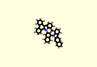 c1ccc2cc3c(cc2c1)c1cccc2c1n3-c1c3c(cc4ccccc14)-n1c4c(cccc4c4c5ccccc5c5ccccc5c41)B32